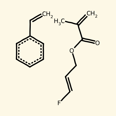 C=C(C)C(=O)OCC=CF.C=Cc1ccccc1